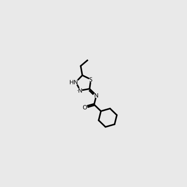 CCC1N[N]C(=NC(=O)C2CCCCC2)S1